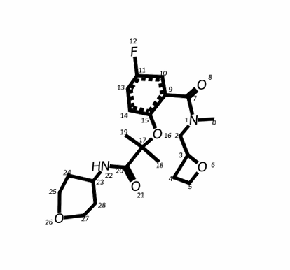 CN(CC1CCO1)C(=O)c1cc(F)ccc1OC(C)(C)C(=O)NC1CCOCC1